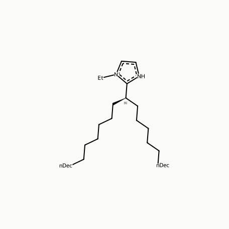 CCCCCCCCCCCCCCCC[C@H](CCCCCCCCCCCCCCC)c1[nH]cc[n+]1CC